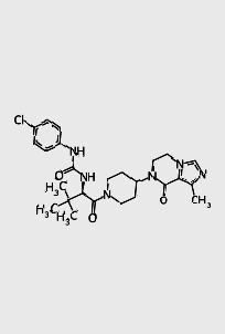 Cc1ncn2c1C(=O)N(C1CCN(C(=O)[C@H](NC(=O)Nc3ccc(Cl)cc3)C(C)(C)C)CC1)CC2